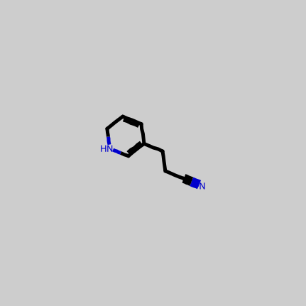 N#CCCC1=CNCC=C1